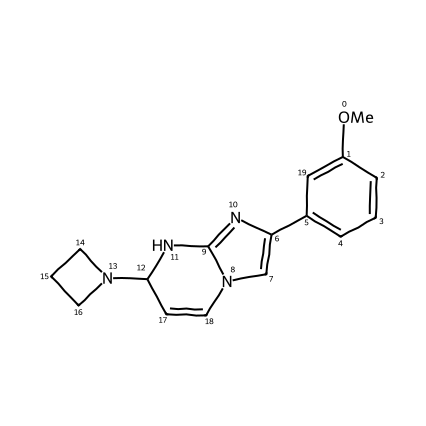 COc1cccc(-c2cn3c(n2)NC(N2CCC2)C=C3)c1